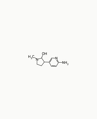 CN1CCC(c2ccc(N)nc2)[C]1O